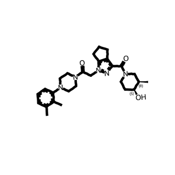 Cc1cccc(N2CCN(C(=O)Cn3nc(C(=O)N4CC[C@H](O)[C@H](C)C4)c4c3CCC4)CC2)c1C